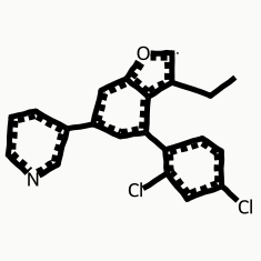 CCc1[c]oc2cc(-c3cccnc3)cc(-c3ccc(Cl)cc3Cl)c12